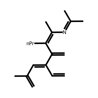 C=C/C(=C\C(=C)C)C(=C)/C(CCC)=C(/C)N=C(C)C